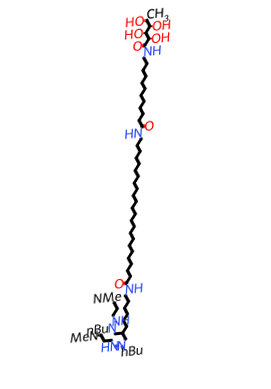 CCCCN(CC(CCCCCCNC(=O)CCCCCCCCCCCCCCCCCCCCCCCNC(=O)CCCCCCCCCCCNC(=O)[C@H](O)[C@@H](O)[C@H](O)[C@@H](C)O)CN(CCCC)NCCCNC)NCCCNC